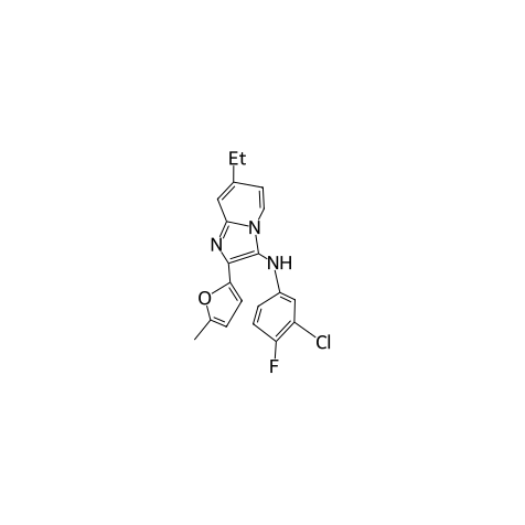 CCc1ccn2c(Nc3ccc(F)c(Cl)c3)c(-c3ccc(C)o3)nc2c1